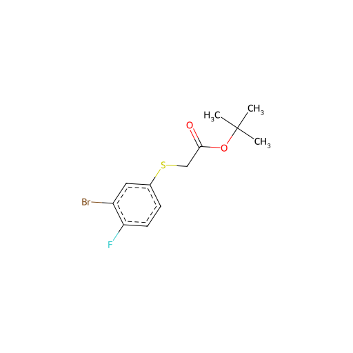 CC(C)(C)OC(=O)CSc1ccc(F)c(Br)c1